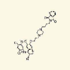 COc1cc(Nc2c(C#N)cnc3cc(OCCCN4CCN(CCCCN5C(=O)c6ccccc6C5=O)CC4)c(OC)cc23)c(Cl)cc1Cl